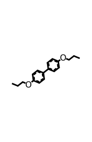 CCCOc1ccc(-c2ccc(OCCC)cc2)cc1